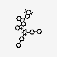 CC1(C)CCC(C)(C)c2cc(-n3c4ccccc4c4c5c6ccccc6n(-c6nc(-c7ccc(-c8ccccc8)cc7)nc(-c7ccc(-c8ccccc8)cc7)n6)c5ccc43)ccc21